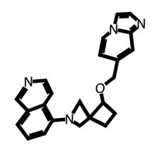 c1cc(N2CC3(CCC3OCc3ccn4ccnc4c3)C2)c2ccncc2c1